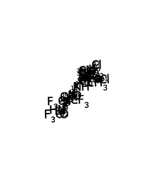 Cc1c(C(=O)N(CCCNCCCN(CCN(CCCNC(=O)C(F)(F)F)C(=O)C(F)(F)F)C(=O)C(F)(F)F)N2CCCCC2)nn(-c2ccc(Cl)cc2Cl)c1-c1ccc(Cl)cc1